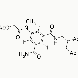 CC(=O)CC(CNC(=O)c1c(I)c(C(N)=O)c(I)c(N(C)C(=O)COC(C)=O)c1I)C(C)=O